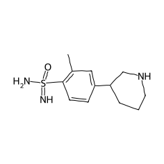 Cc1cc(C2CCCNC2)ccc1S(=N)(N)=O